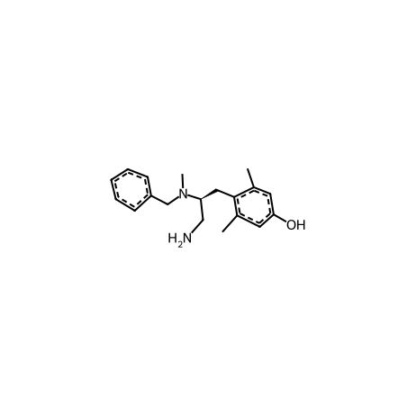 Cc1cc(O)cc(C)c1C[C@@H](CN)N(C)Cc1ccccc1